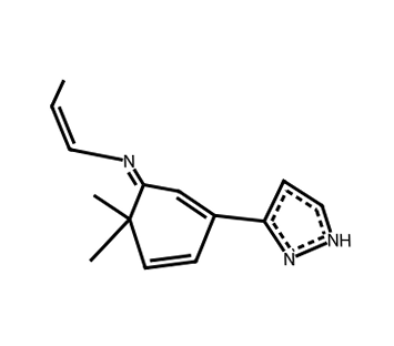 C/C=C\N=C1\C=C(c2cc[nH]n2)C=CC1(C)C